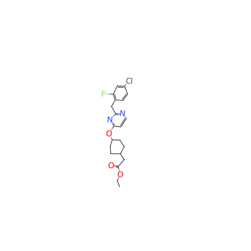 CCOC(=O)CC1CCC(Oc2ccnc(Cc3ccc(Cl)cc3F)n2)CC1